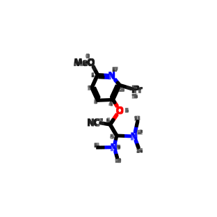 COc1ccc(OC(C#N)C(N(C)C)N(C)C)c(C(C)C)n1